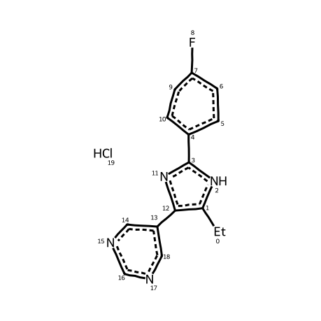 CCc1[nH]c(-c2ccc(F)cc2)nc1-c1cncnc1.Cl